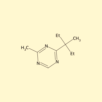 CCC(C)(CC)c1ncnc(C)n1